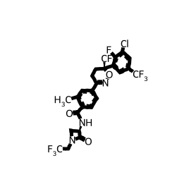 Cc1cc(C2=NO[C@](c3cc(C(F)(F)F)cc(Cl)c3F)(C(F)(F)F)CC2)ccc1C(=O)N[C@@H]1CN(CC(F)(F)F)C1=O